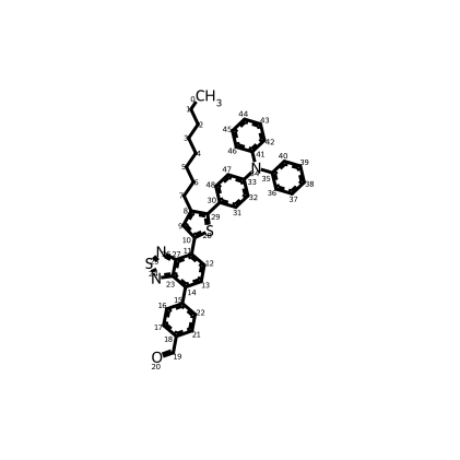 CCCCCCCCc1cc(-c2ccc(-c3ccc(C=O)cc3)c3nsnc23)sc1-c1ccc(N(c2ccccc2)c2ccccc2)cc1